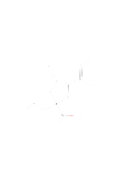 C=CCC(CC=C)(CCC(O)=CC)C(=O)O